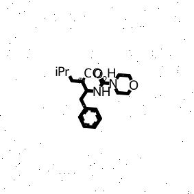 CC(C)C[C@@H](C(=O)O)C(Cc1ccccc1)NC(=O)N1CCOCC1